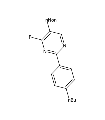 CCCCCCCCCc1cnc(-c2ccc(CCCC)cc2)nc1F